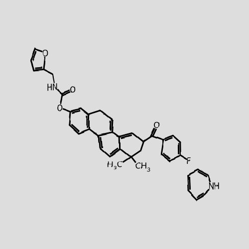 C1=CC=CNC=C1.CC1(C)CC(C(=O)c2ccc(F)cc2)C=c2c1ccc1c2=CCc2cc(OC(=O)NCc3ccco3)ccc2-1